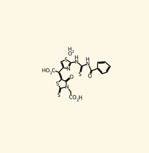 O.O=C(O)CN1C(=O)C(=C(C(=O)O)c2csc(NC(=S)NC(=O)c3ccccc3)n2)SC1=S